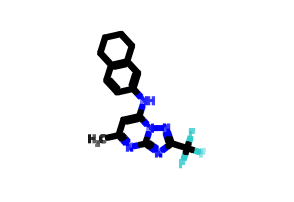 Cc1cc(Nc2ccc3c(c2)CCCC3)n2nc(C(F)(F)F)nc2n1